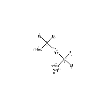 CCCCCC[B-](CC)(CC)CC.CCCCCC[B-](CC)(CC)CC.[Mg+2]